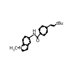 Cn1ccc2cc(NC(=O)c3ccc(/C=C/C(C)(C)C)cc3)ccc21